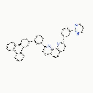 c1cnc(-c2cccc(-c3ccc4ccc5ccc(-c6cccc(-c7ccc8c9ccccc9c9ccccc9c8c7)c6)nc5c4n3)c2)nc1